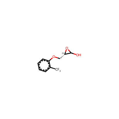 OC1O[C@H]1COc1ccccc1C(F)(F)F